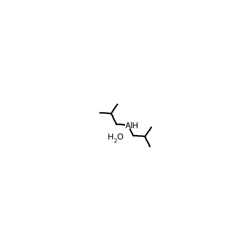 CC(C)[CH2][AlH][CH2]C(C)C.O